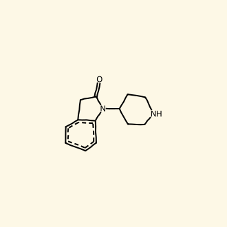 O=C1Cc2ccccc2N1C1CCNCC1